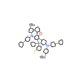 CC(C)(C)c1ccc(N(c2ccc(-c3ccccc3)cc2)c2ccc3c(c2)C(c2ccccc2)(c2cccc(F)c2)c2cc(N(c4ccc(-c5ccccc5)cc4)c4ccc(C(C)(C)C)cc4)c4c(oc5ccccc54)c2-3)cc1